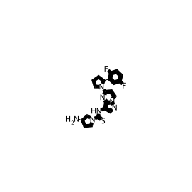 N[C@H]1CCN(C(=S)Nc2cnn3ccc(N4CCC[C@@H]4c4cc(F)ccc4F)nc23)C1